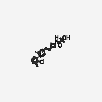 Cc1cccc(N2CCN(CCC3CC(NC(=O)C(C)(C)O)C3)C[C@H]2C)c1Cl